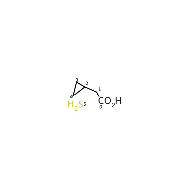 O=C(O)CC1CC1.S